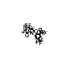 CNC(=O)n1nc(Oc2ccc(C(F)(F)F)cc2[N+](=O)[O-])cc1C(F)(F)F